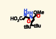 COC(=O)C(C=CC(C(C)(C)C)C(C)(C)C)NC(=O)[C@@H](N)CC(=O)O